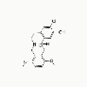 COc1ccc(OC)c2c1C[C@H]1c3cc(O)c(Cl)cc3CCN1C2